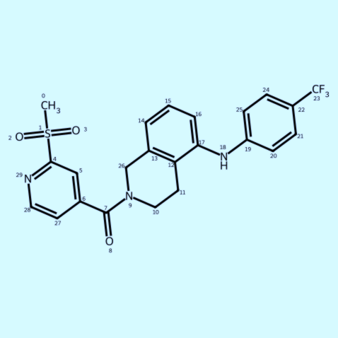 CS(=O)(=O)c1cc(C(=O)N2CCc3c(cccc3Nc3ccc(C(F)(F)F)cc3)C2)ccn1